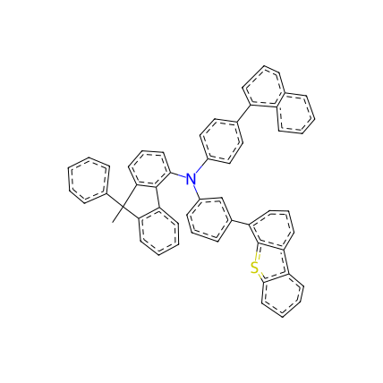 CC1(c2ccccc2)c2ccccc2-c2c(N(c3ccc(-c4cccc5ccccc45)cc3)c3cccc(-c4cccc5c4sc4ccccc45)c3)cccc21